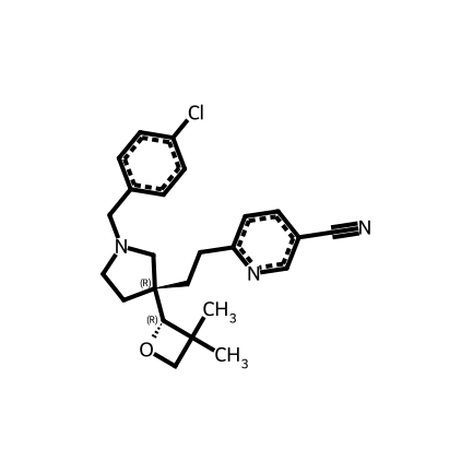 CC1(C)CO[C@@H]1[C@]1(CCc2ccc(C#N)cn2)CCN(Cc2ccc(Cl)cc2)C1